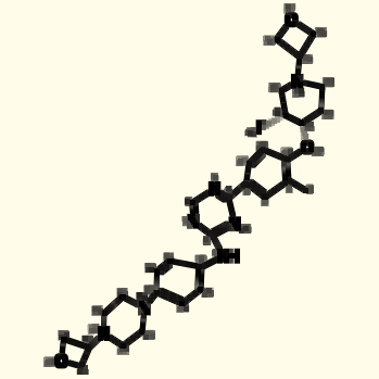 Cc1cc(-c2ncnc(Nc3ccc(N4CCN(C5COC5)CC4)cc3)n2)ccc1O[C@H]1CCN(C2COC2)C[C@H]1F